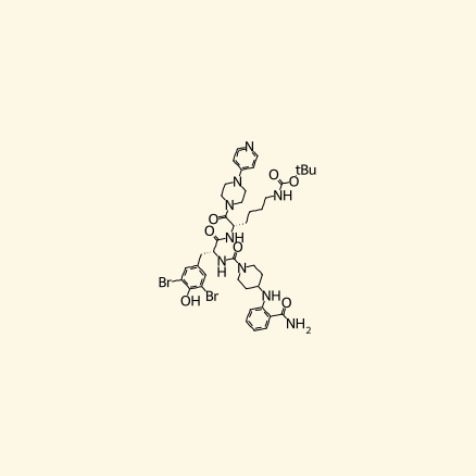 CC(C)(C)OC(=O)NCCCC[C@H](NC(=O)[C@@H](Cc1cc(Br)c(O)c(Br)c1)NC(=O)N1CCC(Nc2ccccc2C(N)=O)CC1)C(=O)N1CCN(c2ccncc2)CC1